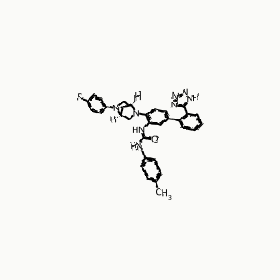 Cc1ccc(NC(=O)Nc2cc(-c3ccccc3-c3nnn[nH]3)ccc2N2C[C@@H]3C[C@H]2CN3c2ccc(F)cc2)cc1